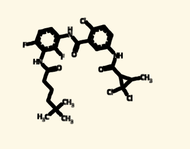 CC1C(C(=O)Nc2ccc(Cl)c(C(=O)Nc3ccc(F)c(NC(=O)CCCC(C)(C)C)c3F)c2)C1(Cl)Cl